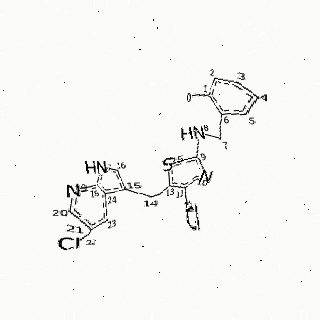 Cc1ccccc1CNc1nc(Cl)c(Cc2c[nH]c3ncc(Cl)cc23)s1